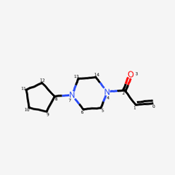 C=CC(=O)N1CCN(C2CCCC2)CC1